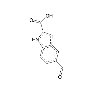 O=Cc1ccc2[nH]c(C(=O)O)cc2c1